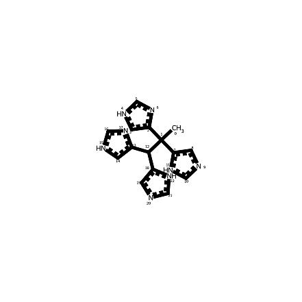 CC(c1c[nH]cn1)(c1cnc[nH]1)C(c1c[nH]cn1)c1cnc[nH]1